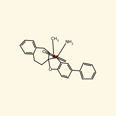 CN1C(=O)C2(N=C1N)c1cc(-c3ccccc3)ccc1OC21CCc2ccccc2CC1